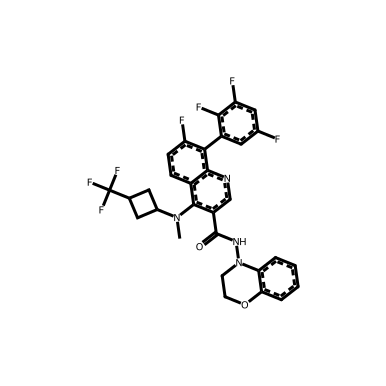 CN(c1c(C(=O)NN2CCOc3ccccc32)cnc2c(-c3cc(F)cc(F)c3F)c(F)ccc12)C1CC(C(F)(F)F)C1